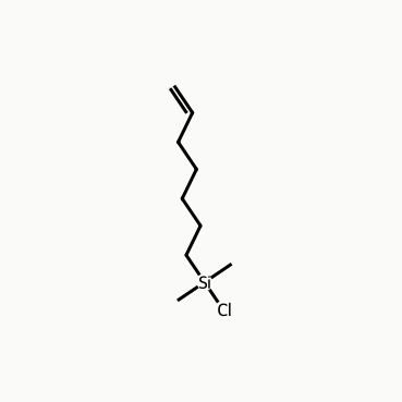 C=CCCCCC[Si](C)(C)Cl